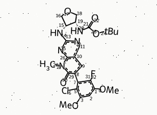 COc1cc(OC)c(Cl)c(-c2cc3cnc(N[C@@H]4COC[C@@H]4NC(=O)OC(C)(C)C)nc3n(C)c2=O)c1F